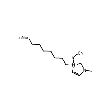 CCCCCCCCCCCCCCCC[N+]1(SC#N)C=CN(C)C1